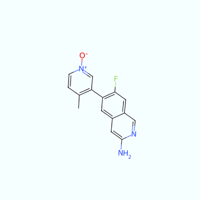 Cc1cc[n+]([O-])cc1-c1cc2cc(N)ncc2cc1F